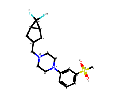 CS(=O)(=O)c1cccc(N2CCN(CC3CC4C(C3)C4(F)F)CC2)c1